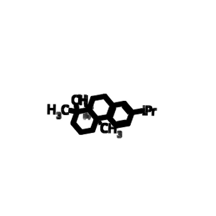 CC(C)c1ccc2c(c1)CC[C@H]1C(C)(C)CCC[C@]21C